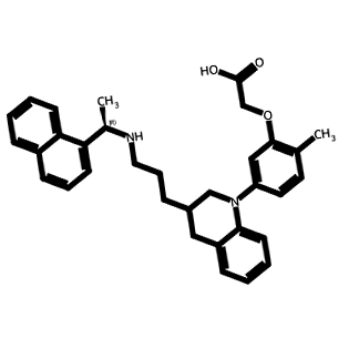 Cc1ccc(N2CC(CCCN[C@H](C)c3cccc4ccccc34)Cc3ccccc32)cc1OCC(=O)O